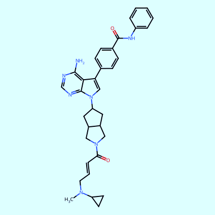 CN(C/C=C/C(=O)N1CC2CC(n3cc(-c4ccc(C(=O)Nc5ccccc5)cc4)c4c(N)ncnc43)CC2C1)C1CC1